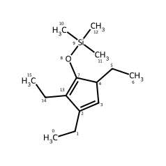 CCC1=CC(CC)C(O[Si](C)(C)C)=C1CC